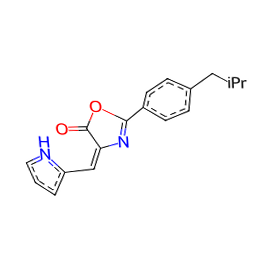 CC(C)Cc1ccc(C2=N/C(=C/c3ccc[nH]3)C(=O)O2)cc1